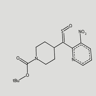 CC(C)(C)OC(=O)N1CCC(C(=S=O)c2ncccc2[N+](=O)[O-])CC1